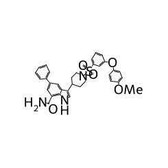 COc1ccc(Oc2cccc(S(=O)(=O)N3CCC(c4c[nH]c5c(C(N)=O)cc(-c6ccccc6)cc45)CC3)c2)cc1